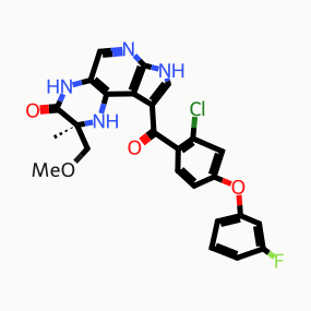 COC[C@]1(C)Nc2c(cnc3[nH]cc(C(=O)c4ccc(Oc5cccc(F)c5)cc4Cl)c23)NC1=O